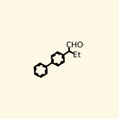 CCC([C]=O)c1ccc(-c2ccccc2)cc1